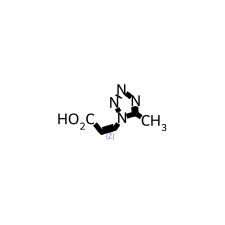 Cc1nnnn1/C=C\C(=O)O